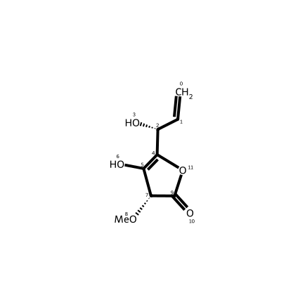 C=C[C@@H](O)C1=C(O)[C@@H](OC)C(=O)O1